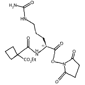 CCOC(=O)C1(C(=O)N[C@@H](CCCNC(N)=O)C(=O)ON2C(=O)CCC2=O)CCC1